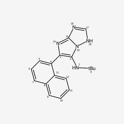 CC(C)(C)Nc1c(-c2cccc3ccccc23)nc2nc[nH]n12